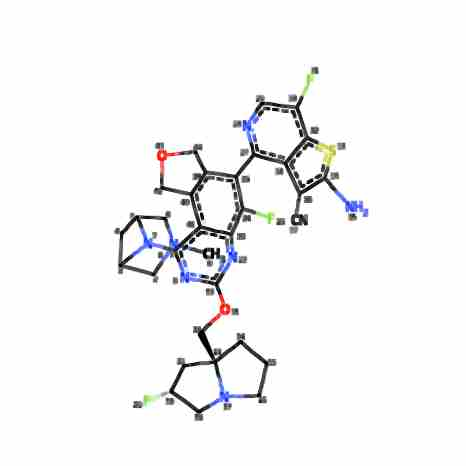 CN1CC2CC(C1)N2c1nc(OC[C@@]23CCCN2C[C@H](F)C3)nc2c(F)c(-c3ncc(F)c4sc(N)c(C#N)c34)c3c(c12)COC3